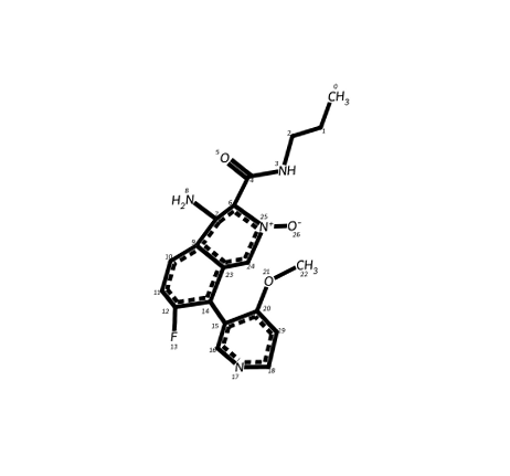 CCCNC(=O)c1c(N)c2ccc(F)c(-c3cnccc3OC)c2c[n+]1[O-]